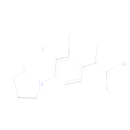 CC/C(S)=C(/C)c1ccc(N2CCCC2)c(F)c1F